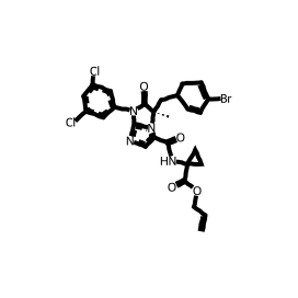 C=CCOC(=O)C1(NC(=O)c2cnc3n2[C@](C)(CC2C=CC(Br)=CC2)C(=O)N3c2cc(Cl)cc(Cl)c2)CC1